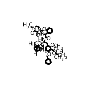 CCN1CCN(C(=O)NC(C(=O)N[C@@H](Cc2ccc(OCc3ccccc3)c(C(=O)OC(C)(C)C)c2OC)B2O[C@@H]3C[C@@H]4C[C@@H](C4(C)C)[C@]3(C)O2)c2ccccc2)C(=O)C1=O